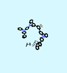 CC1(C)c2ccccc2-c2ccc(-c3ccc(-n4c5ccccc5c5cc(-c6cc(Br)cc(-c7ccc8c(c7)c7ccccc7n8-c7ccc(N(c8ccccc8)c8ccc(-c9ccccc9)cc8)cc7)c6)ccc54)cc3)cc21